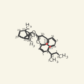 CCC(C)c1ccc(OC(Cc2ccccc2)OC2CC3CCC2(C)C3(C)C)cc1